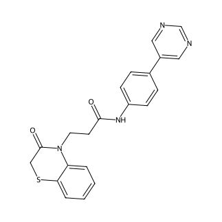 O=C(CCN1C(=O)CSc2ccccc21)Nc1ccc(-c2cncnc2)cc1